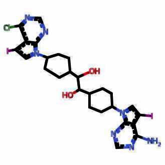 Nc1ncnc2c1c(I)cn2C1CCC(C(O)C(O)C2CCC(n3cc(I)c4c(Cl)ncnc43)CC2)CC1